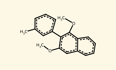 COc1cc2ccccc2c(OC)c1-c1cccc(C)c1